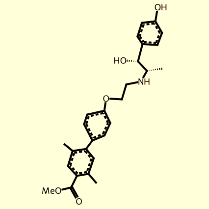 COC(=O)c1cc(C)c(-c2ccc(OCCN[C@@H](C)[C@H](O)c3ccc(O)cc3)cc2)cc1C